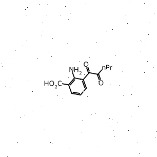 CCCC(=O)C(=O)c1cccc(C(=O)O)c1N